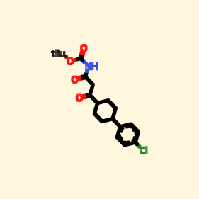 CC(C)(C)OC(=O)NC(=O)CC(=O)C1CCC(c2ccc(Cl)cc2)CC1